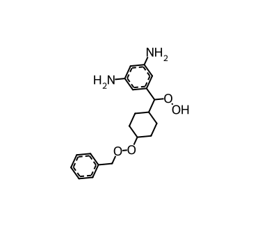 Nc1cc(N)cc(C(OO)C2CCC(OOCc3ccccc3)CC2)c1